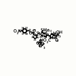 CSc1c2sc(C3=C(C(=O)O)N4C(=O)[C@H]([C@@H](C)O)[C@H]4[C@H]3C)c[n+]2cn1C[C@H]1CCCN1C(=O)OCc1ccc([N+](=O)[O-])cc1.O=S(=O)([O-])C(F)(F)F